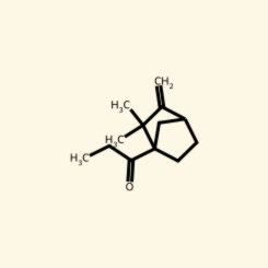 C=C1C2CCC(C(=O)CC)(C2)C1(C)C